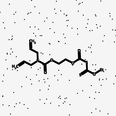 C=CCN(CC=C)C(=O)OCCOC(=O)SC(=S)OCC